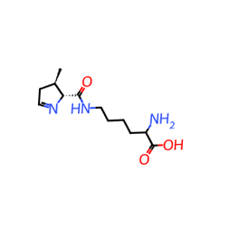 C[C@@H]1CC=N[C@H]1C(=O)NCCCCC(N)C(=O)O